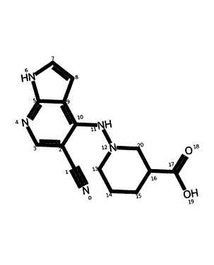 N#Cc1cnc2[nH]ccc2c1NN1CCCC(C(=O)O)C1